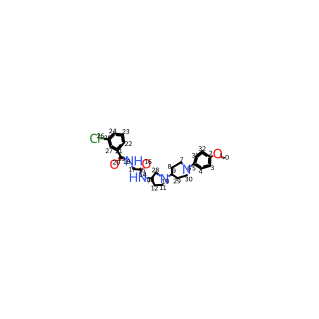 COc1ccc(N2CCC(N3CC[C@@H](NC(=O)CNC(=O)c4cccc(Cl)c4)C3)CC2)cc1